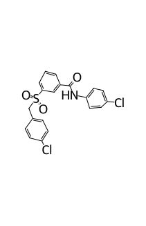 O=C(Nc1ccc(Cl)cc1)c1cccc(S(=O)(=O)Cc2ccc(Cl)cc2)c1